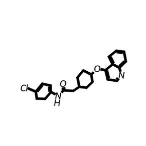 O=C(CC1CCC(Oc2ccnc3ccccc23)CC1)NC1=CC=C(Cl)CC1